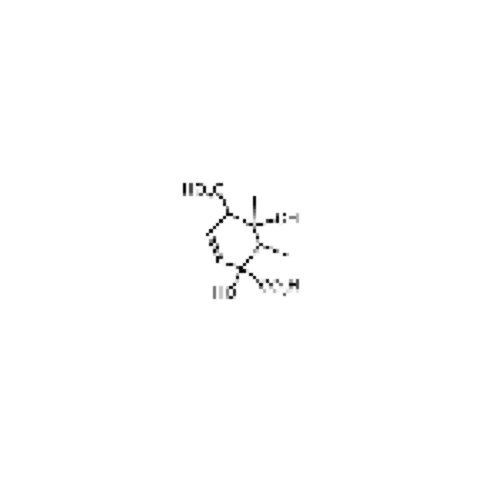 CC1C(O)(C(=O)O)C=CC(C(=O)O)C1(C)O